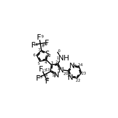 CNc1c(-c2ccc(C(F)(F)F)s2)c(C(F)(F)F)nn1-c1ncccn1